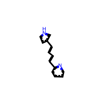 C(C=Cc1ccccn1)=Cc1cc[nH]c1